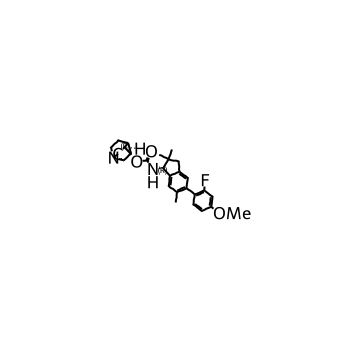 COc1ccc(-c2cc3c(cc2C)[C@H](NC(=O)O[C@H]2CN4CCC2CC4)C(C)(C)C3)c(F)c1